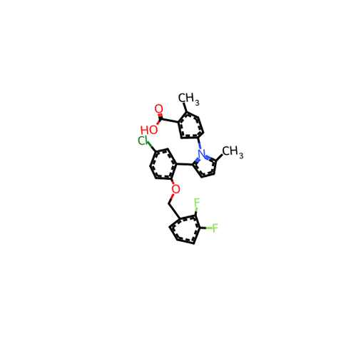 Cc1ccc(-n2c(C)ccc2-c2cc(Cl)ccc2OCc2cccc(F)c2F)cc1C(=O)O